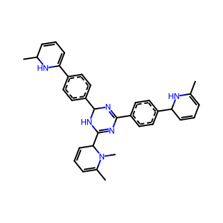 CC1=CC=CC(c2ccc(C3=NC(c4ccc(C5=CC=CC(C)N5)cc4)NC(C4C=CC=C(C)N4C)=N3)cc2)N1